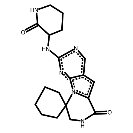 O=C1NCC2(CCCCC2)n2c1cc1cnc(NC3CCCNC3=O)nc12